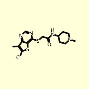 Cc1c(Cl)sc2c(SCC(=O)NC3CCN(C)CC3)ncnc12